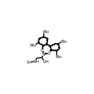 CCNCC(O)n1oc2c(C(C)(C)C)cc(C(C)(C)C)cc2c2cc(C(C)(C)C)cc(C(C)(C)C)c2o1